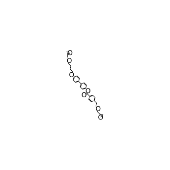 O=C(Oc1ccc(-c2ccc(OCCCCOCC3CO3)cc2)cc1)c1ccc(CCOCC2CO2)cc1